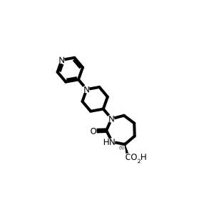 O=C(O)[C@@H]1CCCN(C2CCN(c3ccncc3)CC2)C(=O)N1